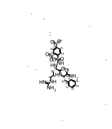 N=C(N)NCCC[C@H](NNS(=O)(=O)c1ccc([N+](=O)[O-])cc1[N+](=O)[O-])C(=O)N[C@@H](Cc1ccccc1)C(N)=O